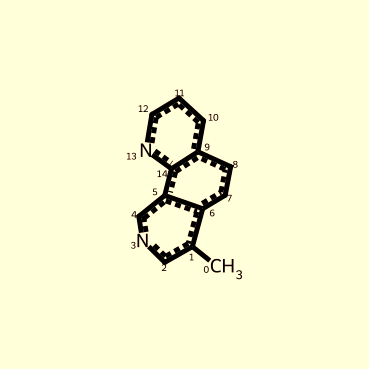 Cc1cncc2c1ccc1cccnc12